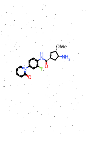 CO[C@H]1C[C@@H](C(=O)Nc2ccc(-n3ccccc3=O)cc2F)C[C@@H]1N